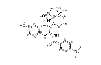 CN(C)c1ccc(C(=O)N[C@@H](Cc2ccc(O)cc2)C(=O)N2CCC[C@H]3OCC(=O)[C@H]32)cc1